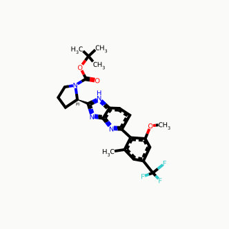 COc1cc(C(F)(F)F)cc(C)c1-c1ccc2[nH]c([C@H]3CCCN3C(=O)OC(C)(C)C)nc2n1